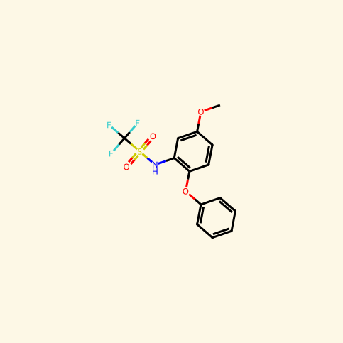 COc1ccc(Oc2ccccc2)c(NS(=O)(=O)C(F)(F)F)c1